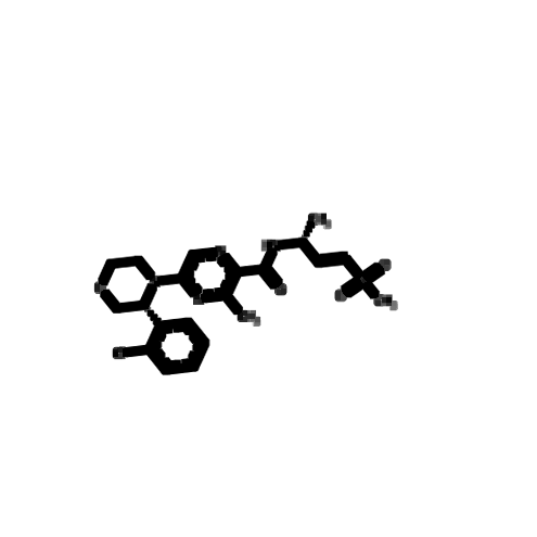 Cc1nc(N2CCOC[C@H]2c2ccccc2Cl)cnc1C(=O)N[C@H](C)/C=C/S(C)(=O)=O